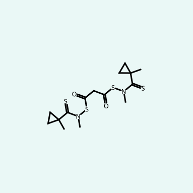 CN(SC(=O)CC(=O)SN(C)C(=S)C1(C)CC1)C(=S)C1(C)CC1